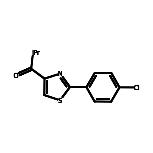 CC(C)C(=O)c1csc(-c2ccc(Cl)cc2)n1